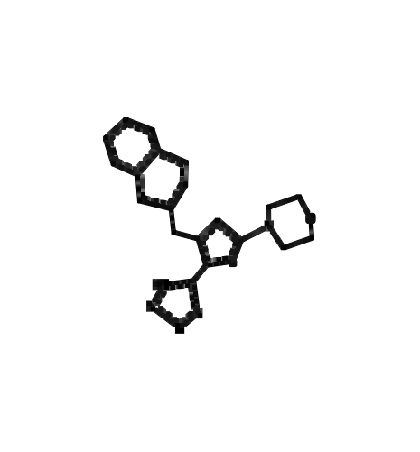 c1ccc2cc(Cc3cc(N4CCOCC4)sc3-c3nnn[nH]3)ccc2c1